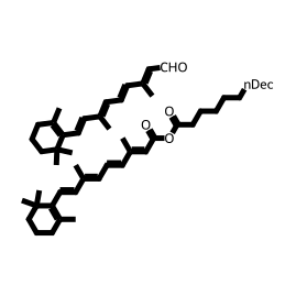 CC1=C(/C=C/C(C)=C/C=C/C(C)=C/C=O)C(C)(C)CCC1.CCCCCCCCCCCCCCCC(=O)OC(=O)/C=C(C)/C=C/C=C(C)/C=C/C1=C(C)CCCC1(C)C